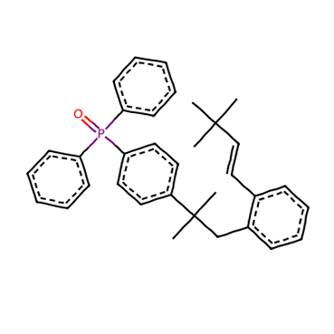 CC(C)(C)/C=C/c1ccccc1CC(C)(C)c1ccc(P(=O)(c2ccccc2)c2ccccc2)cc1